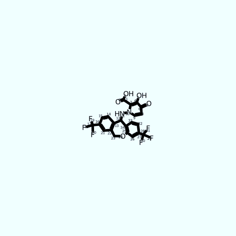 O=C(O)c1c(O)c(=O)ccn1NC1c2ccc(C(F)(F)F)cc2COc2cc(C(F)(F)F)ccc21